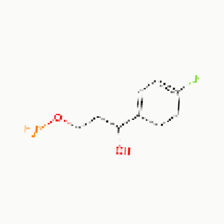 OC(CCOP)C1=CC=C(F)CC1